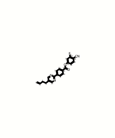 C=CCCc1cnc(-c2ccc(C(=O)Oc3ccc(C#N)c(F)c3)cc2)nc1